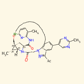 CC(=O)c1nn2c3c(cc(-c4cnc(C)nc4)cc13)CCCCCCCCCOC[C@@]13C[C@@H](C(=O)Nc4nc(Br)ccc4C)N(C(=O)C2)[C@@H]1[C@@H]3C